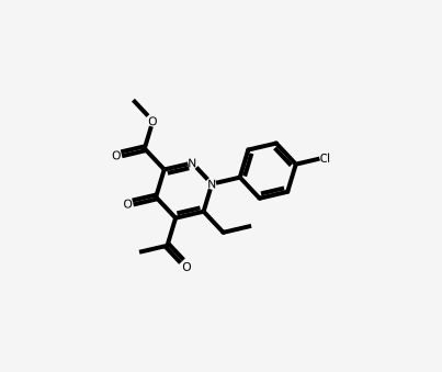 CCc1c(C(C)=O)c(=O)c(C(=O)OC)nn1-c1ccc(Cl)cc1